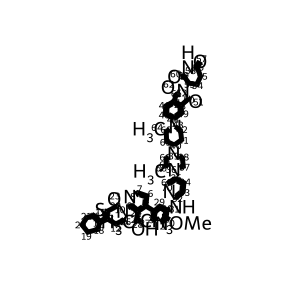 COc1ncc(-c2ccnc(N3CCc4c(sc5c4CCCC5)C3=O)c2C(C)(C)O)cc1Nc1ccc(N2CCN(C3CCN(c4ccc5c(c4)C(=O)N([C@H]4CCC(=O)NC4=O)C5=O)[C@@H](C)C3)C[C@@H]2C)cn1